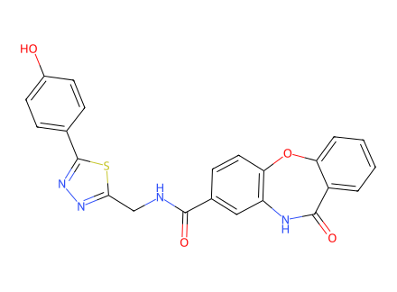 O=C(NCc1nnc(-c2ccc(O)cc2)s1)c1ccc2c(c1)NC(=O)c1ccccc1O2